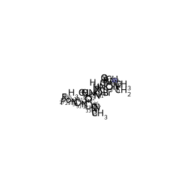 C=Nc1ccc(Nc2nc(Nc3cc4c(cc3OC)N(C3CCN(C5CC(F)(F)C5)CC3)CCc3c-4cnn3C)ncc2Br)c(P(C)(C)=O)c1/N=C\C